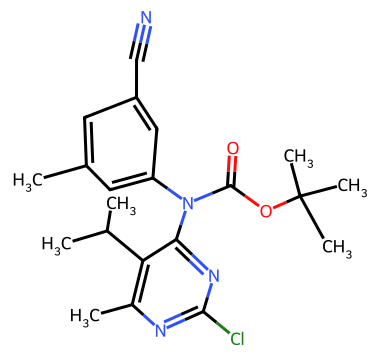 Cc1cc(C#N)cc(N(C(=O)OC(C)(C)C)c2nc(Cl)nc(C)c2C(C)C)c1